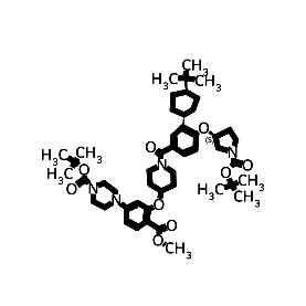 COC(=O)c1ccc(N2CCN(C(=O)OC(C)(C)C)CC2)cc1OC1CCN(C(=O)c2ccc(O[C@H]3CCN(C(=O)OC(C)(C)C)C3)c([C@H]3CC[C@H](C(C)(C)C)CC3)c2)CC1